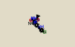 N#CC[C@]1(n2cc(C(N)=O)c(NC(=O)C3CC3)n2)CC[C@@H](NCc2ccc(Cl)cc2)CC1